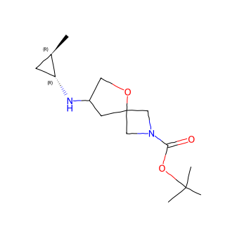 C[C@@H]1C[C@H]1NC1COC2(C1)CN(C(=O)OC(C)(C)C)C2